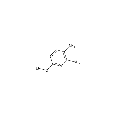 CCOc1ccc(N)c(N)n1